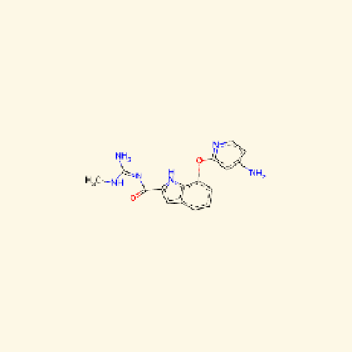 CNC(N)=NC(=O)c1cc2cccc(Oc3cc(N)ccn3)c2[nH]1